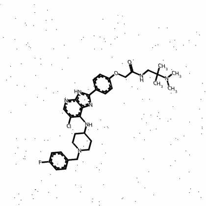 CN(C)C(C)(C)CNC(=O)COc1ccc(-c2nc3c(NC4CCN(Cc5ccc(F)cc5)CC4)c(Cl)cnc3[nH]2)cc1